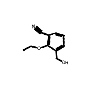 CCOc1c(C#N)cccc1[CH]O